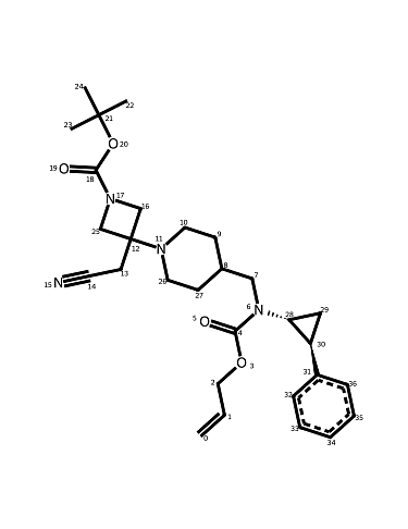 C=CCOC(=O)N(CC1CCN(C2(CC#N)CN(C(=O)OC(C)(C)C)C2)CC1)[C@@H]1C[C@H]1c1ccccc1